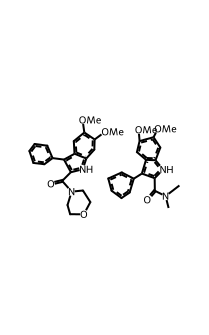 COc1cc2[nH]c(C(=O)N(C)C)c(-c3ccccc3)c2cc1OC.COc1cc2[nH]c(C(=O)N3CCOCC3)c(-c3ccccc3)c2cc1OC